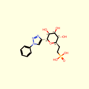 O=P(O)(O)CC[C@H]1O[C@H](c2cn(-c3ccccc3)nn2)[C@@H](O)[C@@H](O)[C@@H]1O